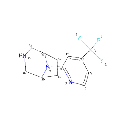 FC(F)(F)c1ccnc(N2C3CCC2CNC3)c1